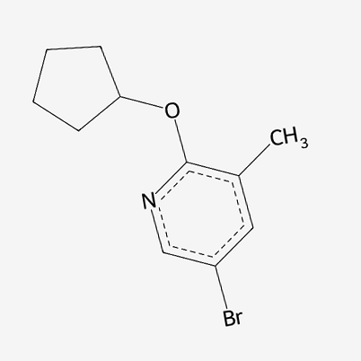 Cc1cc(Br)cnc1OC1CCCC1